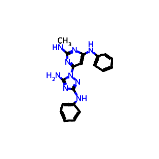 CNc1nc(Nc2ccccc2)cc(-n2nc(Nc3ccccc3)nc2N)n1